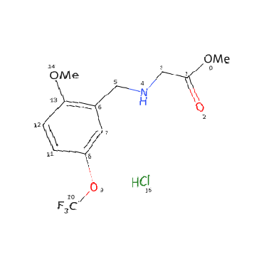 COC(=O)CNCc1cc(OC(F)(F)F)ccc1OC.Cl